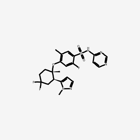 Cc1cc(S(=O)(=O)Nc2ccncn2)c(F)cc1O[C@@]1(C)CCC(F)(F)C[C@@H]1c1ccnn1C